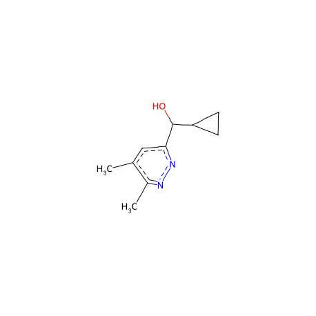 Cc1cc(C(O)C2CC2)nnc1C